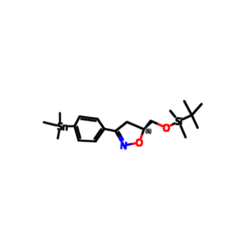 CC(C)(C)[Si](C)(C)OC[C@@H]1CC(c2cc[c]([Sn]([CH3])([CH3])[CH3])cc2)=NO1